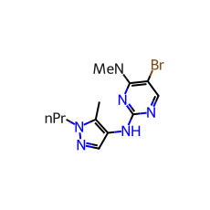 CCCn1ncc(Nc2ncc(Br)c(NC)n2)c1C